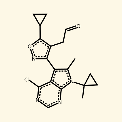 Cc1c(-c2noc(C3CC3)c2CC=O)c2c(Cl)ncnc2n1C1(C)CC1